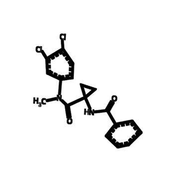 CN(C(=O)C1(NC(=O)c2ccccc2)CC1)c1ccc(Cl)c(Cl)c1